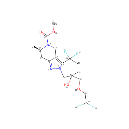 C[C@@H]1Cc2nn3c(c2CN1C(=O)OC(C)(C)C)C(F)(F)CCC(O)(COCC(F)F)C3